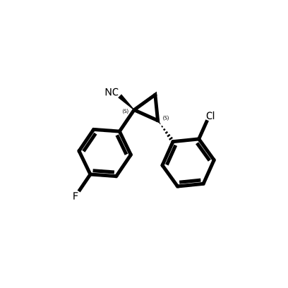 N#C[C@@]1(c2ccc(F)cc2)C[C@@H]1c1ccccc1Cl